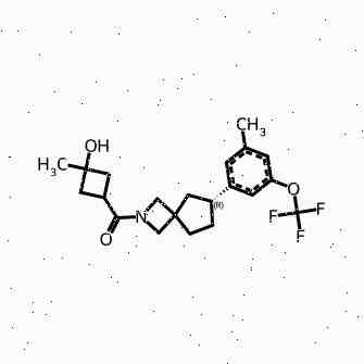 Cc1cc(OC(F)(F)F)cc([C@@H]2CCC3(C2)CN(C(=O)C2CC(C)(O)C2)C3)c1